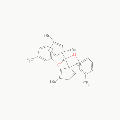 CC(C)(C)C1=C[C](C(C)(C)C)([Zr]([O]c2cccc(C(F)(F)F)c2)([O]c2cccc(C(F)(F)F)c2)[C]2(C(C)(C)C)C=CC(C(C)(C)C)=C2)C=C1